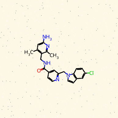 Cc1cc(N)nc(C)c1CNC(=O)c1ccnc(Cn2ccc3cc(Cl)ccc32)c1